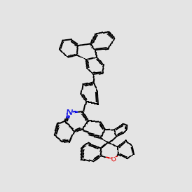 c1ccc2c(c1)Oc1ccccc1C21c2ccccc2-c2cc3c(-c4ccc(-c5ccc6c7ccccc7c7ccccc7c6c5)cc4)nc4ccccc4c3cc21